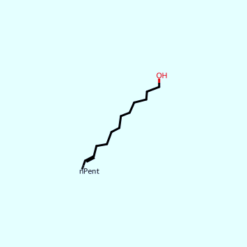 CCCCC/C=C/CCCCCCCCCCO